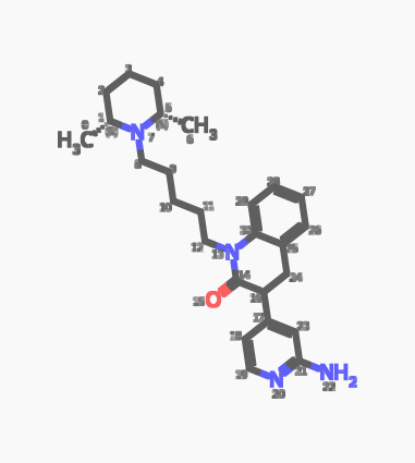 C[C@@H]1CCC[C@H](C)N1CCCCCN1C(=O)C(c2ccnc(N)c2)Cc2ccccc21